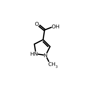 CN1C=C(C(=O)O)CN1